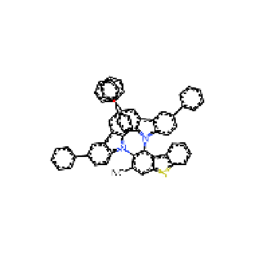 N#Cc1cc2sc3ccccc3c2c(-n2c3ccc(-c4ccccc4)cc3c3cc(-c4ccccc4)ccc32)c1-n1c2ccc(-c3ccccc3)cc2c2cc(-c3ccccc3)ccc21